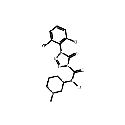 CCN(C(=O)n1nnn(-c2c(Cl)cccc2Cl)c1=O)C1CCCN(C)C1